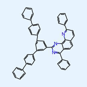 c1ccc(-c2ccc(-c3cc(-c4ccc(-c5ccccc5)cc4)cc(-c4nc(-c5ccccc5)c5ccc6ccc(-c7ccccc7)nc6c5n4)c3)cc2)cc1